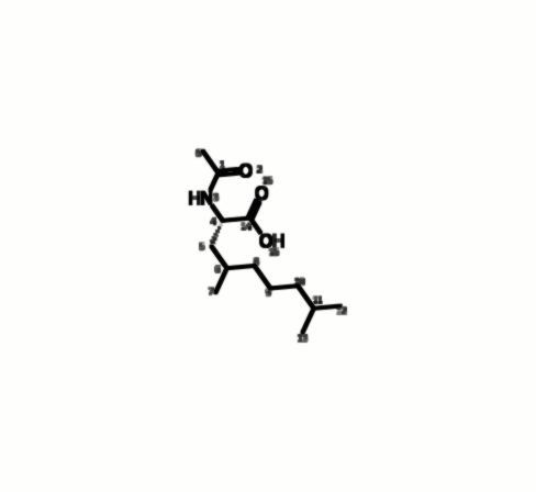 CC(=O)N[C@@H](CC(C)CCCC(C)C)C(=O)O